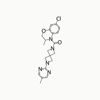 Cc1cnc(N2CC3(CN(C(=O)N4c5ccc(Cl)cc5OCC4C)C3)C2)nc1